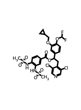 CS(=O)(=O)Nc1ccc(C(=O)OC(Cc2c(Cl)cncc2Cl)c2ccc(OC(F)F)c(OCC3CC3)c2)cc1NS(C)(=O)=O